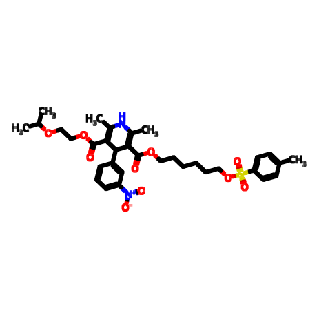 CC1=C(C(=O)OCCCCCCOS(=O)(=O)c2ccc(C)cc2)C(c2cccc([N+](=O)[O-])c2)C(C(=O)OCCOC(C)C)=C(C)N1